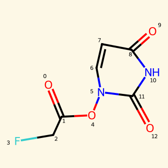 O=C(CF)On1ccc(=O)[nH]c1=O